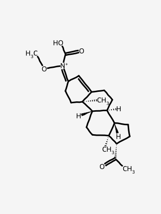 CO[N+](C(=O)O)=C1C=C2CC[C@H]3[C@@H]4CC[C@H](C(C)=O)[C@@]4(C)CC[C@@H]3[C@@]2(C)CC1